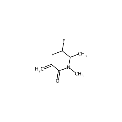 C=CC(=O)N(C)C(C)C(F)F